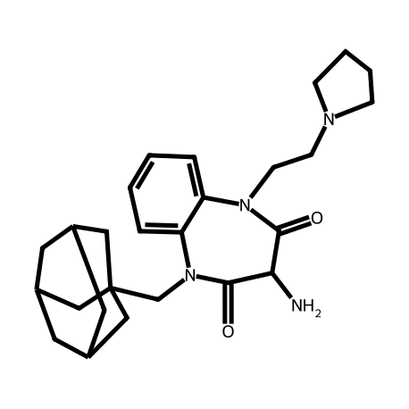 NC1C(=O)N(CCN2CCCC2)c2ccccc2N(CC23CC4CC(CC(C4)C2)C3)C1=O